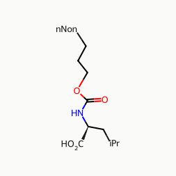 CCCCCCCCCCCCOC(=O)N[C@@H](CC(C)C)C(=O)O